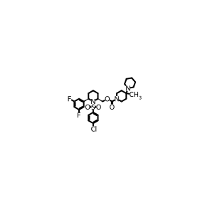 CC1(N2CCCCC2)CCN(C(=O)OC[C@@H]2CCC[C@H](c3cc(F)cc(F)c3)N2S(=O)(=O)c2ccc(Cl)cc2)CC1